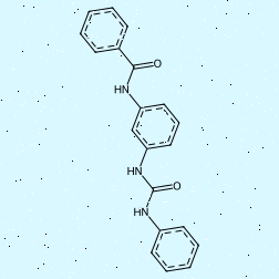 O=C(Nc1ccccc1)Nc1cccc(NC(=O)c2ccccc2)c1